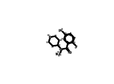 CC(C)c1ccc(F)c(C(=O)N(C)C2CCOCC2)c1